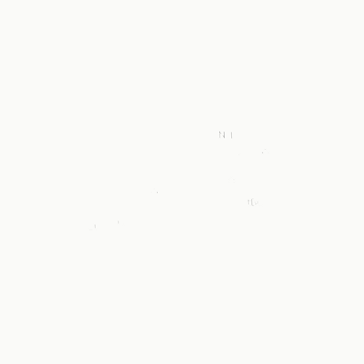 CCOCOc1cccc(NC(=O)OC(C)(C)C)c1